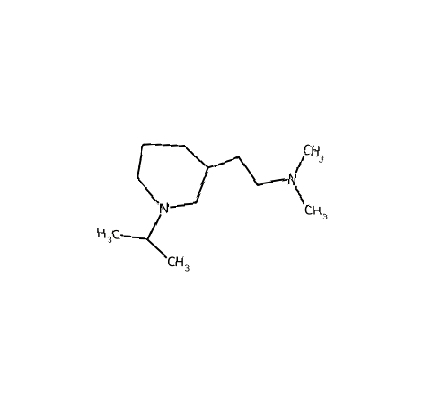 CC(C)N1CCCC(CCN(C)C)C1